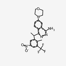 Cc1c(C(C)c2nnc(N)c3cc(N4CCOCC4)ccc23)cc([N+](=O)[O-])cc1C(F)(F)F